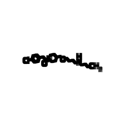 C=CCCNCCCCOCC1CCN(C(=O)Cc2ccc(Cl)cc2)CC1